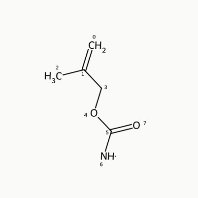 C=C(C)COC([NH])=O